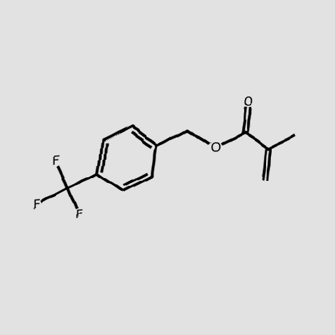 C=C(C)C(=O)OCc1ccc(C(F)(F)F)cc1